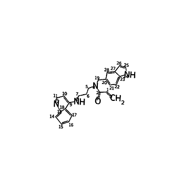 C=CC(=O)N(CCCNc1ccnc2ccccc12)Cc1ccc2[nH]ccc2c1